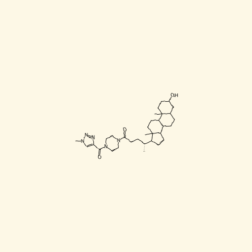 C[C@H](CCC(=O)N1CCN(C(=O)c2cn(C)nn2)CC1)C1CCC2C3CCC4CC(O)CCC4(C)C3CCC21C